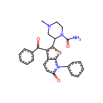 CN1CCN(C(N)=O)C(c2sc3c(ccc(=O)n3-c3ccccc3)c2C(=O)c2ccccc2)C1